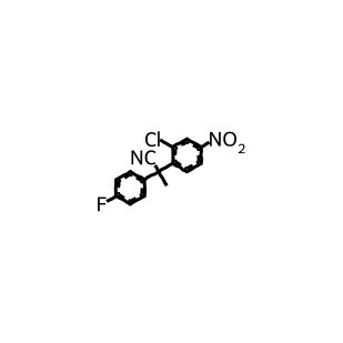 CC(C#N)(c1ccc(F)cc1)c1ccc([N+](=O)[O-])cc1Cl